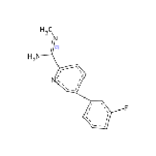 C/N=C(\N)c1ccc(-c2cccc(F)c2)cn1